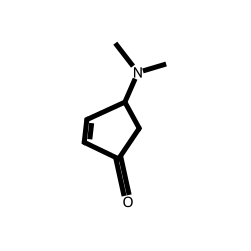 CN(C)C1C=CC(=O)C1